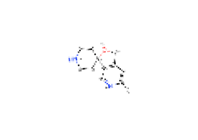 Cc1cc2c(cn1)C1(CCNCC1)OC2